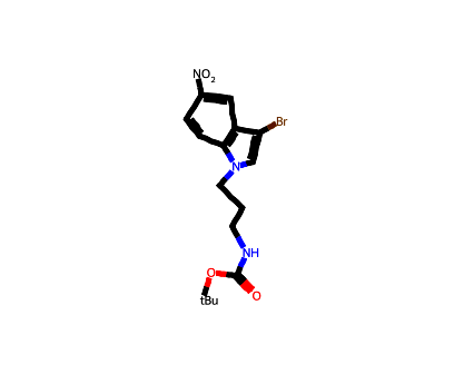 CC(C)(C)OC(=O)NCCCn1cc(Br)c2cc([N+](=O)[O-])ccc21